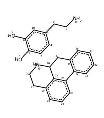 NCCc1ccc(O)c(O)c1.c1ccc2c(c1)CC1NCCc3cccc-2c31